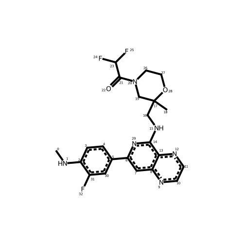 CNc1ccc(-c2cc3nccnc3c(NCC3(C)CN(C(=O)C(F)F)CCO3)n2)cc1F